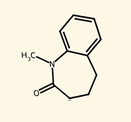 CN1C(=O)[C]CCc2ccccc21